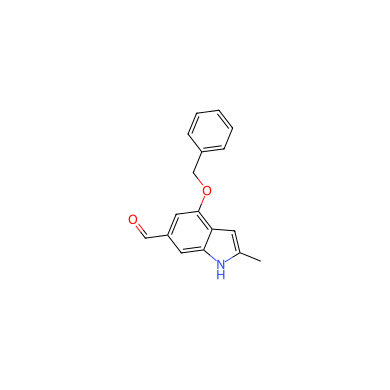 Cc1cc2c(OCc3ccccc3)cc(C=O)cc2[nH]1